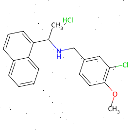 COc1ccc(CNC(C)c2cccc3ccccc23)cc1Cl.Cl